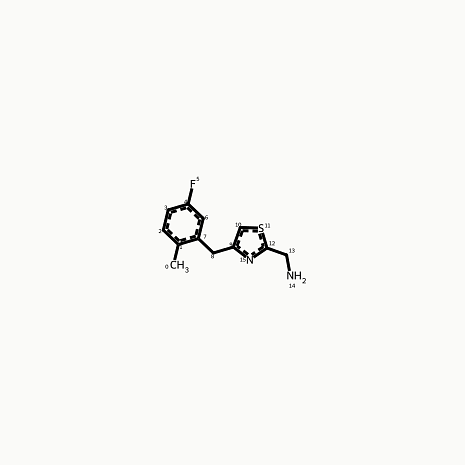 Cc1ccc(F)cc1Cc1csc(CN)n1